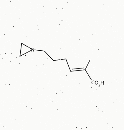 CC(=CCCCN1CC1)C(=O)O